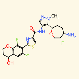 Cn1ncc(NC(=O)c2csc(-c3c(F)cc4c(c3F)OCC[C@@H]4O)n2)c1[C@@H]1CC[C@@H](N)[C@H](F)CO1